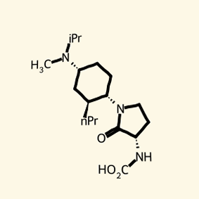 CCC[C@H]1C[C@H](N(C)C(C)C)CC[C@@H]1N1CC[C@H](NC(=O)O)C1=O